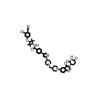 CC1(C)[C@H](NC(=O)c2ccc(-c3cnn(C4CCN(CC5CCN(c6ccc7nnn(C8CCC(=O)NC8=O)c(=O)c7c6)CC5)CC4)c3)cc2)C(C)(C)[C@H]1Oc1ccc(C#N)c(Cl)c1